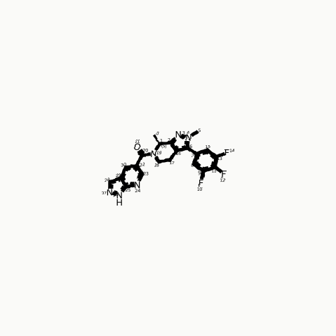 C[C@H]1c2nn(C)c(-c3cc(F)c(F)c(F)c3)c2CCN1C(=O)c1cnc2[nH]ncc2c1